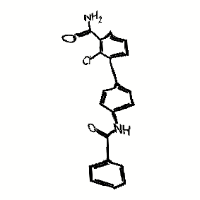 NC(=O)c1cccc(-c2ccc(NC(=O)c3ccccc3)cc2)c1Cl